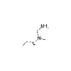 CCON(C)CN